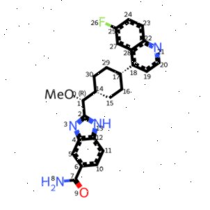 CO[C@@H](c1nc2cc(C(N)=O)ccc2[nH]1)[C@H]1CC[C@@H](c2ccnc3ccc(F)cc32)CC1